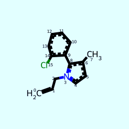 C=CCn1ccc(C)c1-c1ccccc1Cl